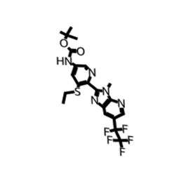 CCSc1cc(NC(=O)OC(C)(C)C)cnc1-c1nc2cc(C(F)(F)C(F)(F)F)cnc2n1C